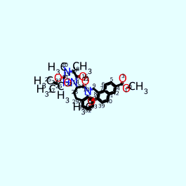 COC(=O)c1ccc2c(CN3C(=O)C(NC(=O)C(C)N(C)C(=O)OC(C)(C)C)CCc4ccccc43)c(OC)ccc2c1